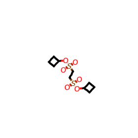 O=S(=O)(CCS(=O)(=O)OC1CCC1)OC1CCC1